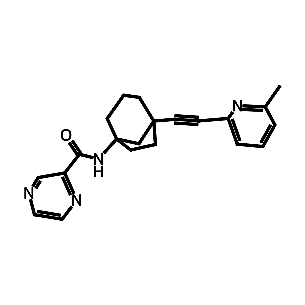 Cc1cccc(C#CC23CCCC(NC(=O)c4cnccn4)(CC2)C3)n1